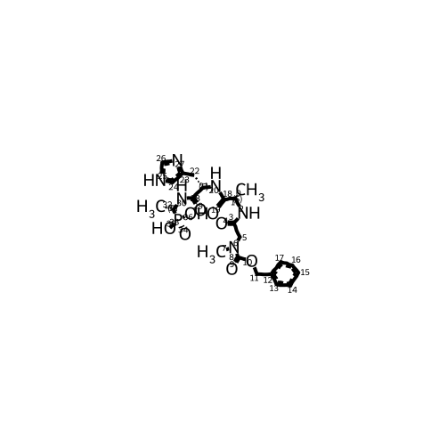 C[C@H](NC(=O)CN(C)C(=O)OCc1ccccc1)C(=O)N[C@@H](Cc1c[nH]cn1)C(=O)N[C@@H](C)P(=O)(O)O